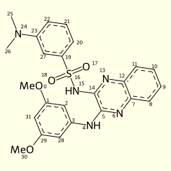 COc1cc(Nc2nc3ccccc3nc2NS(=O)(=O)c2cccc(N(C)C)c2)cc(OC)c1